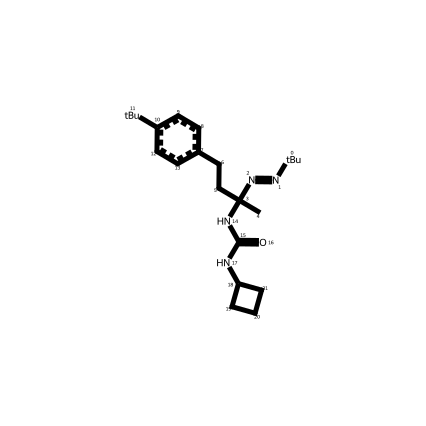 CC(C)(C)N=NC(C)(CCc1ccc(C(C)(C)C)cc1)NC(=O)NC1CCC1